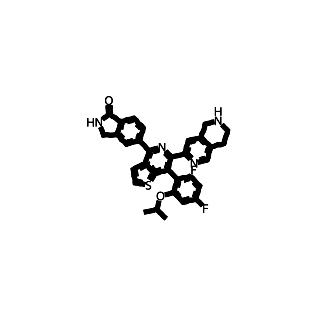 CC(C)Oc1cc(F)cc(F)c1-c1c(-c2cc3c(cn2)CCNC3)nc(-c2ccc3c(c2)CNC3=O)c2ccsc12